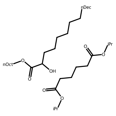 CC(C)OC(=O)CCCCC(=O)OC(C)C.CCCCCCCCCCCCCCCCC(O)C(=O)OCCCCCCCC